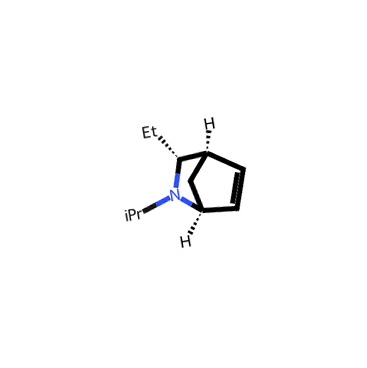 CC[C@@H]1[C@H]2C=C[C@H](C2)N1C(C)C